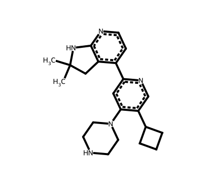 CC1(C)Cc2c(-c3cc(N4CCNCC4)c(C4CCC4)cn3)ccnc2N1